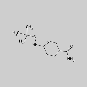 CC(C)(C)SNC1=CCC(C(N)=O)CC1